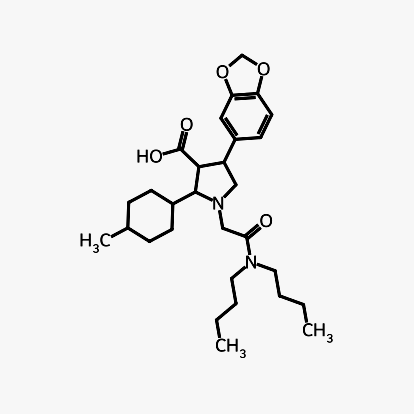 CCCCN(CCCC)C(=O)CN1CC(c2ccc3c(c2)OCO3)C(C(=O)O)C1C1CCC(C)CC1